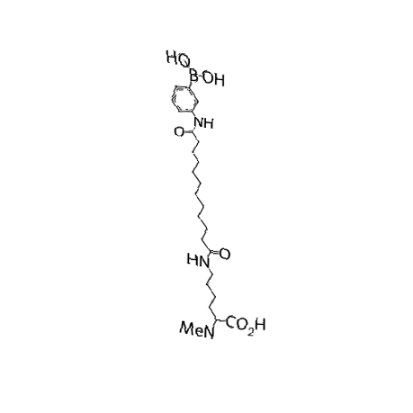 CNC(CCCCNC(=O)CCCCCCCCCCC(=O)Nc1cccc(B(O)O)c1)C(=O)O